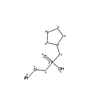 CC(C)OCP(=O)(O)CC1CCCC1